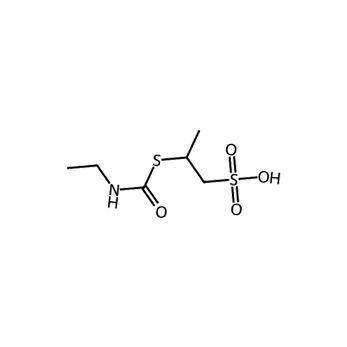 CCNC(=O)SC(C)CS(=O)(=O)O